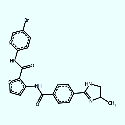 CC1CNC(c2ccc(C(=O)Nc3ccsc3C(=O)Nc3ccc(Br)cn3)cc2)=N1